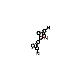 CC1CCCc2c1c1cc(C#N)ccc1n2-c1ccc(-c2cc(C#N)cc(-c3ccccc3-n3c4ccccc4c4cc(C#N)ccc43)c2)cc1